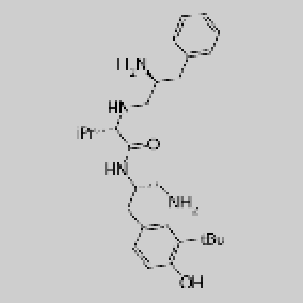 CC(C)[C@H](NC[C@@H](N)Cc1ccccc1)C(=O)N[C@H](CN)Cc1ccc(O)c(C(C)(C)C)c1